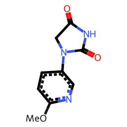 COc1ccc(N2CC(=O)NC2=O)cn1